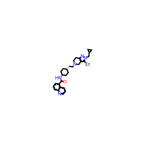 CCc1c2c(nn1CC1CC1)CCN(CC[C@H]1CC[C@H](NC(=O)c3cccc4ncccc34)CC1)C2